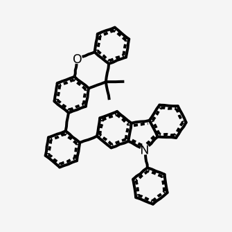 CC1(C)c2ccccc2Oc2ccc(-c3ccccc3-c3ccc4c5ccccc5n(-c5ccccc5)c4c3)cc21